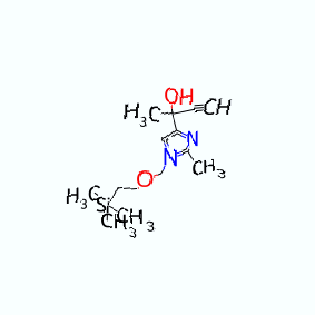 C#CC(C)(O)c1cn(COCC[Si](C)(C)C)c(C)n1